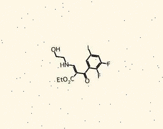 CCOC(=O)C(=CNCCO)C(=O)c1cc(I)cc(F)c1F